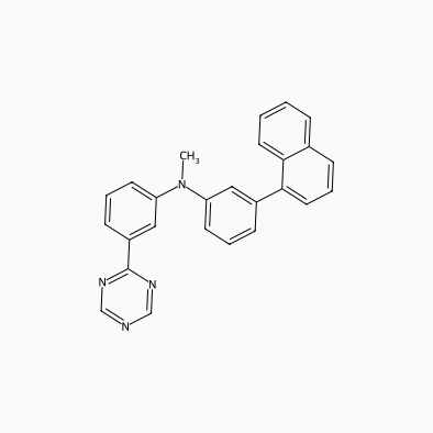 CN(c1cccc(-c2ncncn2)c1)c1cccc(-c2cccc3ccccc23)c1